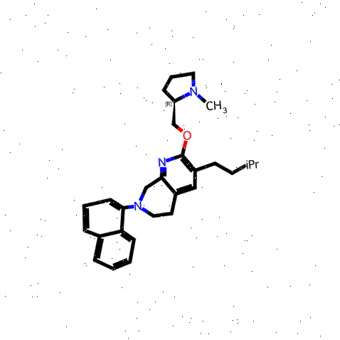 CC(C)CCc1cc2c(nc1OC[C@H]1CCCN1C)CN(c1cccc3ccccc13)CC2